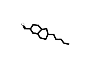 CCCCCC1CCC2CC(C=O)CCC2C1